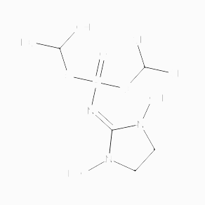 CC(C)OP(=O)(N=C1N(C)CCN1C)OC(C)C